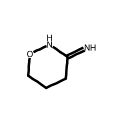 N=C1CCCON1